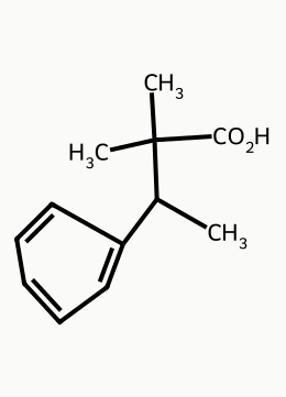 CC(c1ccccc1)C(C)(C)C(=O)O